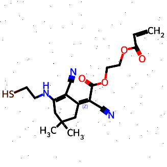 C=CC(=O)OCCOC(=O)/C(C#N)=C1/CC(C)(C)CC(NCCS)=C1C#N